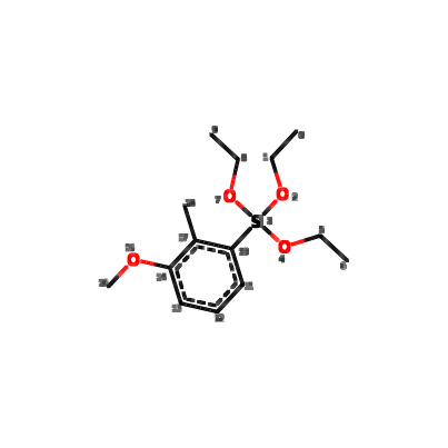 CCO[Si](OCC)(OCC)c1cccc(OC)c1C